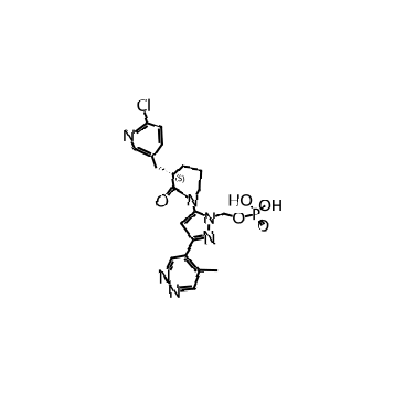 Cc1cnncc1-c1cc(N2CCC[C@@H](Cc3ccc(Cl)nc3)C2=O)n(COP(=O)(O)O)n1